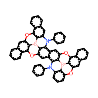 c1ccc(N2c3cccc4c3B3c5c(cc6ccccc6c5Oc5cc6c7c8c(cc6c2c53)Oc2c3c(cc5ccccc25)Oc2c(c(cc5ccccc25)N7c2ccccc2)B38)O4)cc1